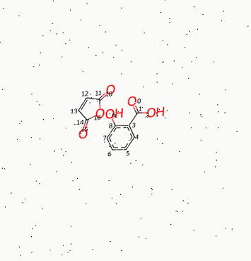 O=C(O)c1ccccc1O.O=C1C=CC(=O)O1